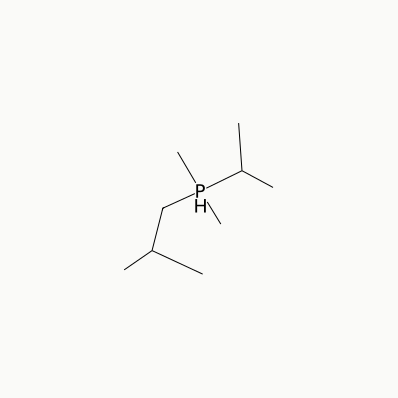 CC(C)C[PH](C)(C)C(C)C